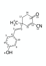 CC1(/C=C/c2ccc(O)cc2)C=C(C#N)C(=O)CC1